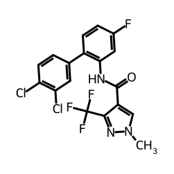 Cn1cc(C(=O)Nc2cc(F)ccc2-c2ccc(Cl)c(Cl)c2)c(C(F)(F)F)n1